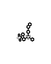 c1ccc(-c2nc(-c3ccc(-c4ccc5ccccc5c4)cc3)nc(-c3cccc4c3-c3ccccc3C43c4ccccc4Oc4ccccc43)n2)cc1